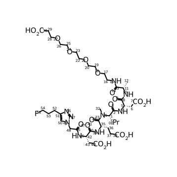 CC(C)[C@@H](C(=O)N[C@@H](CC(=O)O)C(=O)N[C@@H](C)C(=O)NCCOCCOCCOCCOCCC(=O)O)N(C)C(=O)[C@H](CCC(=O)O)NC(=O)[C@H](CC(=O)O)NC(=O)Cn1cc(CCCF)nn1